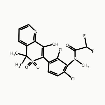 CN(C(=O)C(F)F)c1c(Cl)ccc(C2=C(O)c3ncccc3C(C)(C)S2(=O)=O)c1Cl